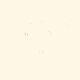 Cc1cc(C2CCC2)cc2[nH]c(=O)c(C(=O)N[C@@H]3C=CS(=O)(=O)C3)cc12